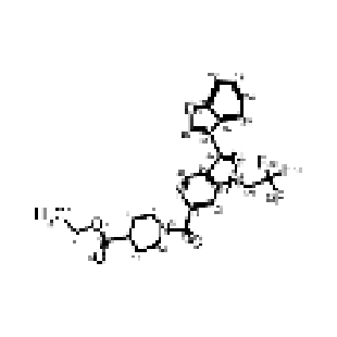 CCOC(=O)C1CCN(C(=O)c2cc3c(cn2)c(-c2coc4ccccc24)nn3CC(F)(F)F)CC1